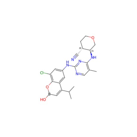 Cc1cnc(Nc2cc(Cl)c3c(c2)C(C(C)C)=CB(O)O3)nc1N[C@@H]1COCC[C@H]1C#N